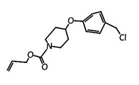 C=CCOC(=O)N1CCC(Oc2ccc(CCl)cc2)CC1